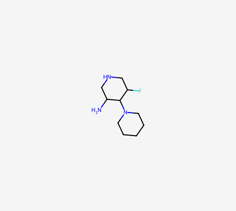 NC1CNCC(F)C1N1CCCCC1